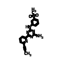 CC#Cc1cccc(-c2nc(N)nc(Nc3cccc(S(C)(=O)=O)c3)n2)n1